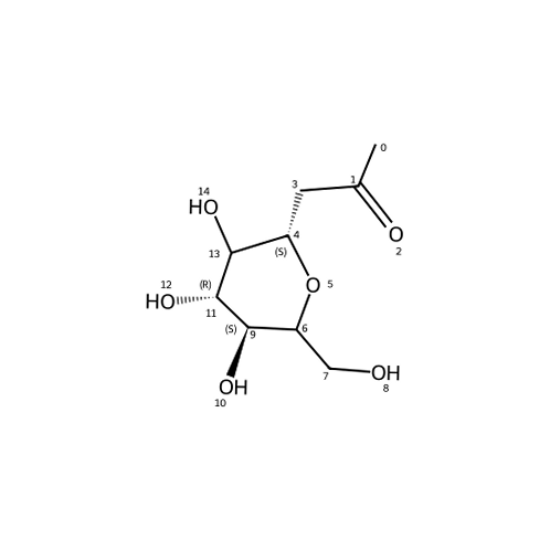 CC(=O)C[C@@H]1OC(CO)[C@@H](O)[C@H](O)C1O